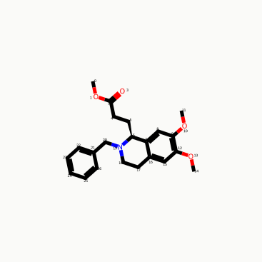 COC(=O)CC[C@H]1c2cc(OC)c(OC)cc2CCN1Cc1ccccc1